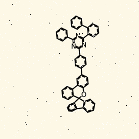 c1ccc(-c2nc(-c3ccc(-c4ccc5c(c4)-c4ccccc4C4(O5)c5ccccc5-c5ccccc54)cc3)nc(-c3ccccc3-c3ccccc3)n2)cc1